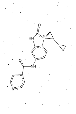 O=C(Nc1ccc2c(c1)NC(=O)[C@@]21CC1C1CC1)c1ccncc1